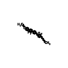 CCCCCCCC1CCC(CCC2CCC(C3CCC(C4CCC(OCCCC)CC4)C(F)C3F)CC2)C(F)C1F